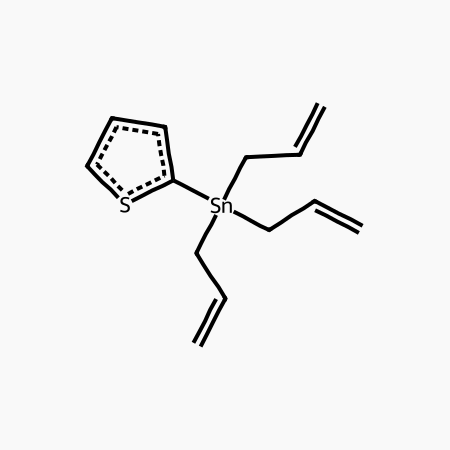 C=C[CH2][Sn]([CH2]C=C)([CH2]C=C)[c]1cccs1